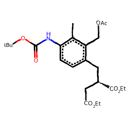 CCOC(=O)C[C@@H](Cc1ccc(NC(=O)OC(C)(C)C)c(C)c1COC(C)=O)C(=O)OCC